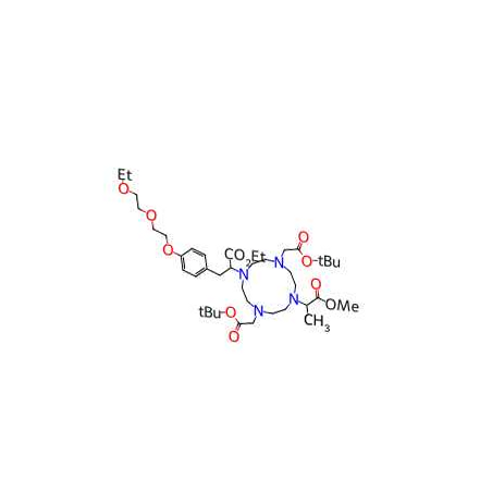 CCOCCOCCOc1ccc(CC(C(=O)OCC)N2CCN(CC(=O)OC(C)(C)C)CCN(C(C)C(=O)OC)CCN(CC(=O)OC(C)(C)C)CC2)cc1